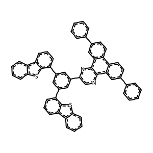 c1ccc(-c2ccc3c4ccc(-c5ccccc5)cc4c4nc(-c5cc(-c6cccc7c6sc6ccccc67)cc(-c6cccc7c6sc6ccccc67)c5)cnc4c3c2)cc1